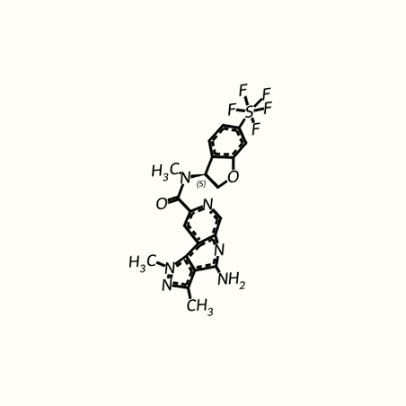 Cc1nn(C)c2c1c(N)nc1cnc(C(=O)N(C)[C@@H]3COc4cc(S(F)(F)(F)(F)F)ccc43)cc12